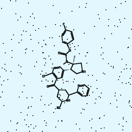 CN(C(=O)Oc1ccc(F)cc1)[C@@]1(C)CNC[C@@H]1c1ccc(Cl)c(C(=O)C2CC(C#N)NC(c3ccccn3)C2)c1